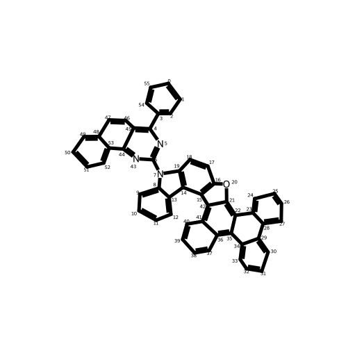 c1ccc(-c2nc(-n3c4ccccc4c4c5c(ccc43)oc3c4c6ccccc6c6ccccc6c4c4ccccc4c35)nc3c2ccc2ccccc23)cc1